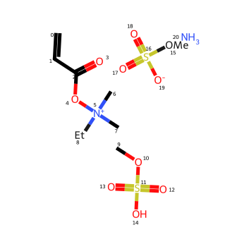 C=CC(=O)O[N+](C)(C)CC.COS(=O)(=O)O.COS(=O)(=O)[O-].N